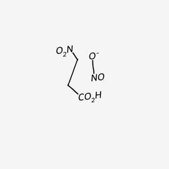 O=C(O)CC[N+](=O)[O-].O=[NH+][O-]